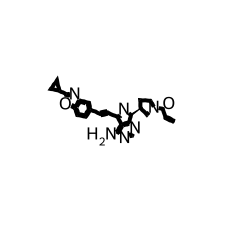 C=CC(=O)N1CC[C@H](C2N=C(C#Cc3ccc4oc(C5CC5)nc4c3)c3c(N)ncnc32)C1